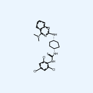 CN(C)c1nc(N[C@H]2CC[C@@H](NC(=S)Nc3c(Cl)cc(Cl)cc3Cl)CC2)nc2ccccc12